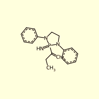 C=C(CC)P1(=N)N(c2ccccc2)CCN1c1ccccc1